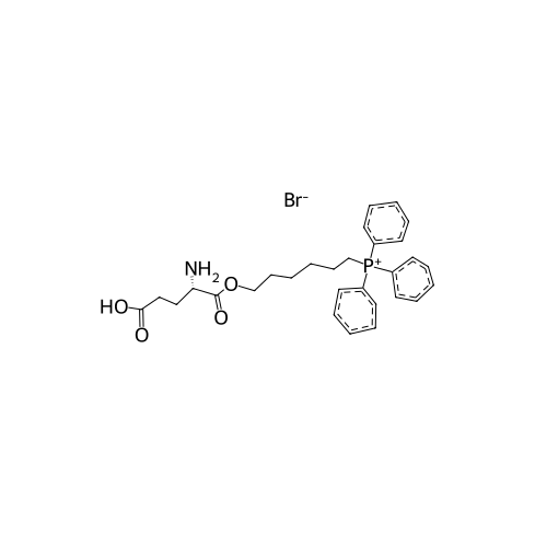 N[C@@H](CCC(=O)O)C(=O)OCCCCCC[P+](c1ccccc1)(c1ccccc1)c1ccccc1.[Br-]